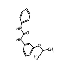 CC(C)Oc1cccc(NC(=O)Nc2ccccc2)c1